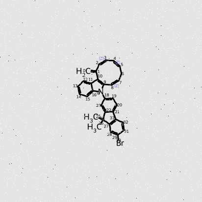 C=C1/C=C\C=C/C/C=C\c2c1c1ccccc1n2-c1ccc2c(c1)C(C)(C)c1cc(Br)ccc1-2